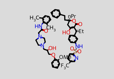 CCC[C@@]1(CCc2ccccc2)CC(O)=C([C@H](CC)c2cccc(NS(=O)(=O)c3ccc(C(F)(F)F)cn3)c2)C(=O)O1.COc1ccccc1OCC(O)CN1CCN(CC(=O)Nc2c(C)cccc2C)CC1